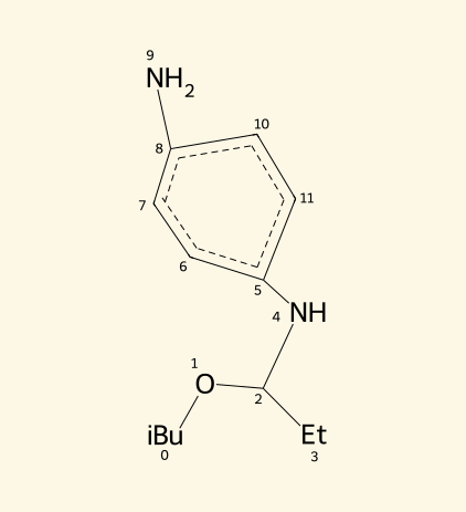 CCC(C)OC(CC)Nc1ccc(N)cc1